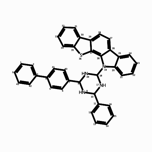 c1ccc(-c2ccc(C3NC(c4ccccc4)NC(n4c5ccccc5c5ccc6c7ccccc7sc6c54)N3)cc2)cc1